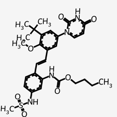 CCCCOC(=O)Nc1cc(NS(C)(=O)=O)ccc1C=Cc1cc(-n2ccc(=O)[nH]c2=O)cc(C(C)(C)C)c1OC